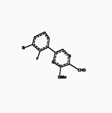 COc1nc(-c2cccc(Br)c2F)cnc1C=O